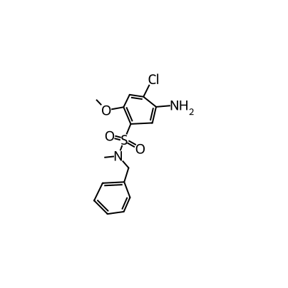 COc1cc(Cl)c(N)cc1S(=O)(=O)N(C)Cc1ccccc1